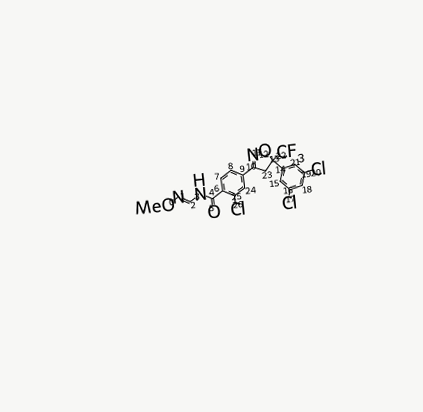 CON=CNC(=O)c1ccc(C2=NOC(c3cc(Cl)cc(Cl)c3)(C(F)(F)F)C2)cc1Cl